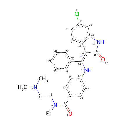 CCN(CCN(C)C)C(=O)c1ccc(N/C(=C2\C(=O)Nc3cc(Cl)ccc32)c2ccccc2)cc1